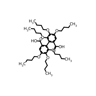 CCCCOc1cc(C(=O)O)c(-c2c(C(=O)O)cc(OCCCC)c(OCCCC)c2OCCCC)c(OCCCC)c1OCCCC